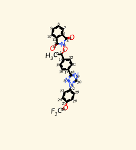 CC(ON1C(=O)c2ccccc2C1=O)c1ccc(-c2ncn(-c3ccc(OC(F)(F)F)cc3)n2)cc1